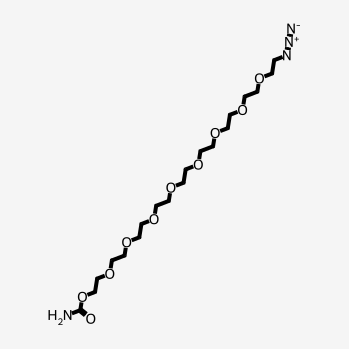 [N-]=[N+]=NCCOCCOCCOCCOCCOCCOCCOCCOCCOC(N)=O